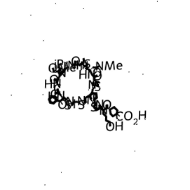 CNC(=O)C[C@@H]1NC(=O)c2csc(n2)-c2ccc(-c3nc(N(CCCCO)C(=O)[C@H]4CC[C@H](C(=O)O)CC4)cs3)nc2-c2csc(n2)-c2csc(n2)[C@H]([C@@H](O)c2ccccc2)NC(=O)CNC(=O)c2nc(sc2COC)[C@H](C(C)C)NC(=O)c2nc1sc2C